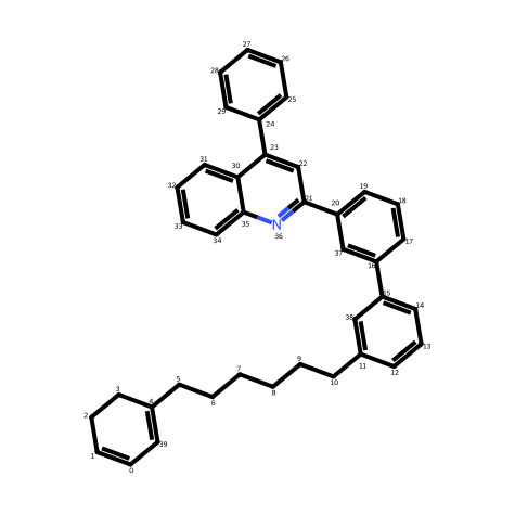 C1=CCCC(CCCCCCc2cccc(-c3cccc(-c4cc(-c5ccccc5)c5ccccc5n4)c3)c2)=C1